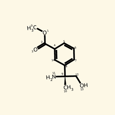 COC(=O)c1cccc([C@@](C)(N)CO)c1